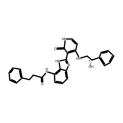 O=C(CCc1ccccc1)Nc1cccc2nc(-c3c(NC[C@@H](O)c4ccccc4)cc[nH]c3=O)[nH]c12